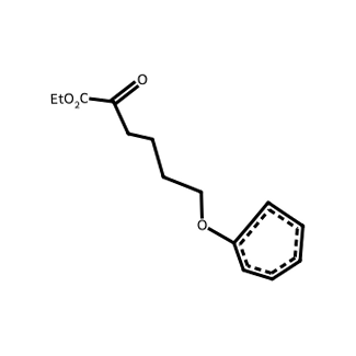 CCOC(=O)C(=O)CCCCOc1ccccc1